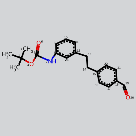 CC(C)(C)OC(=O)Nc1cccc(CCc2ccc(C=O)cc2)c1